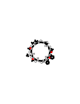 CCC(C)[C@H]1C(=O)N[C@@H](CC(C)C)C(=O)N(C)[C@@H](CC(C)C)C(=O)N[C@@H](COC(C)(C)C)C(=O)N(C)[C@@H](CC(C)C)C(=O)N[C@@H](C)C(=O)N(C)C(=O)N[C@@H](Cc2ccccc2)C(=O)N(C)[C@@H](Cc2ccccc2)C(=O)N(C)[C@H](CC(C)C)C(=O)NC([C@@H](C)O)C(=O)N(C)[C@@H](C)C(=O)N1C